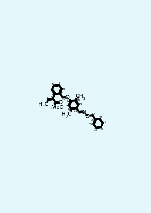 CC=C(C(=O)OC)c1ccccc1COc1cc(C)c(C=NOCc2ccccc2)cc1C